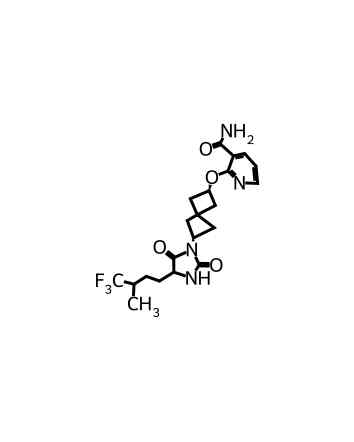 CC(CCC1NC(=O)N([C@H]2CC3(C[C@H](Oc4ncccc4C(N)=O)C3)C2)C1=O)C(F)(F)F